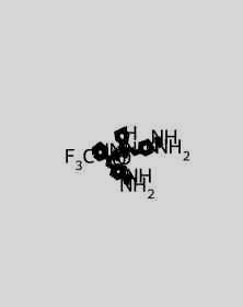 N=C(N)c1ccc(CC(C(=O)N[C@H](C(=O)NCC2CCN(C(=N)N)CC2)C2CCCCC2)c2cccc(C(F)(F)F)c2)cc1